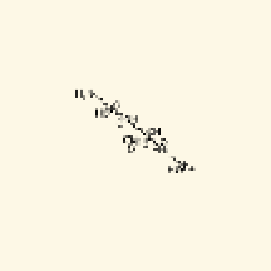 CC(=O)N(O)CCCCCNC(=O)CCC(=O)N(O)CCCCCNC(=O)CCC(=O)N(O)CCCCCN.O=c1ccccn1O